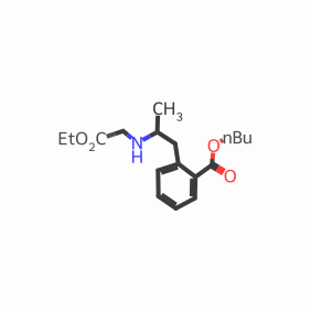 CCCCOC(=O)c1ccccc1CC(C)NCC(=O)OCC